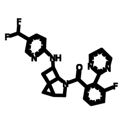 O=C(c1cccc(F)c1-c1ncccn1)N1CC2CC23CC(Nc2ccc(C(F)F)cn2)C13